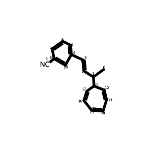 CC(C=Cc1cccc(C#N)c1)C1C=CC=CC=C1